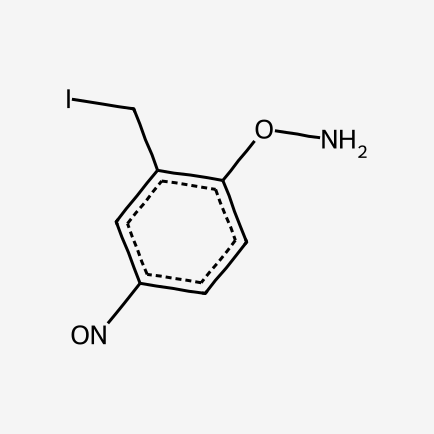 NOc1ccc(N=O)cc1CI